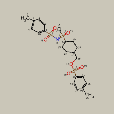 Cc1ccc(S(=O)(=O)N=S(C)(=O)C2CCC(COS(=O)(=O)c3ccc(C)cc3)CC2)cc1